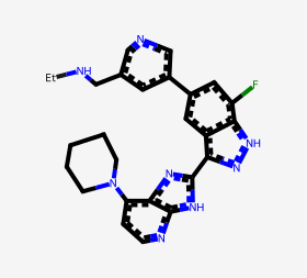 CCNCc1cncc(-c2cc(F)c3[nH]nc(-c4nc5c(N6CCCCC6)ccnc5[nH]4)c3c2)c1